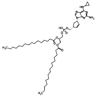 CCCCCCCCCCCCCCCC(=O)OC[C@H](COP(=O)(O)OC[C@H]1C=C[C@@H](n2cnc3c(NC4CC4)nc(N)nc32)C1)OC(=O)CCCCCCCCCCCCCCC